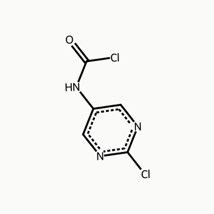 O=C(Cl)Nc1cnc(Cl)nc1